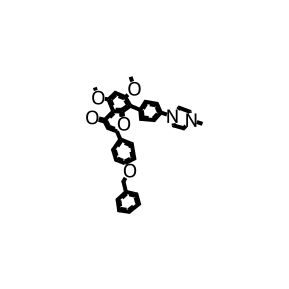 COc1cc(OC)c2c(=O)cc(-c3ccc(OCc4ccccc4)cc3)oc2c1-c1ccc(N2CCN(C)CC2)cc1